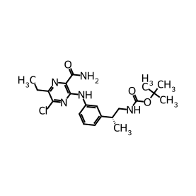 CCc1nc(C(N)=O)c(Nc2cccc([C@@H](C)CNC(=O)OC(C)(C)C)c2)nc1Cl